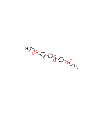 C=CC(=O)OCc1ccc(C(=O)Oc2ccc(-c3ccc(COC(=O)C=C)cc3)cc2)cc1